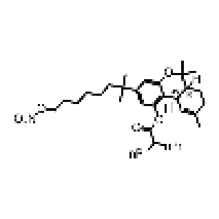 CCCC(CCC)C(=O)Oc1cc(C(C)(C)CCCCCCO[N+](=O)[O-])cc2c1[C@@H]1C=C(C)CC[C@H]1C(C)(C)O2